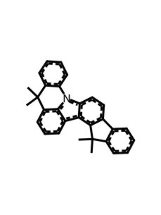 CC1(C)c2ccccc2-c2ccc3c(c21)c1cccc2c1n3-c1ccccc1C2(C)C